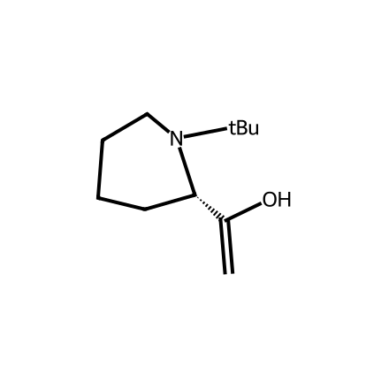 C=C(O)[C@@H]1CCCCN1C(C)(C)C